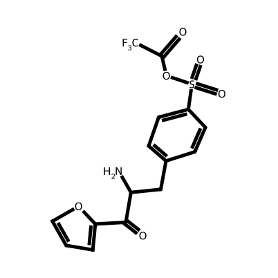 NC(Cc1ccc(S(=O)(=O)OC(=O)C(F)(F)F)cc1)C(=O)c1ccco1